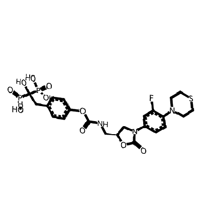 O=C(NC[C@H]1CN(c2ccc(N3CCSCC3)c(F)c2)C(=O)O1)Oc1ccc(CC(O)([PH](=O)O)P(=O)(O)O)cc1